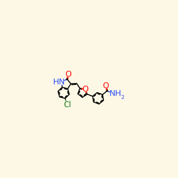 NC(=O)c1cccc(-c2ccc(/C=C3/C(=O)Nc4ccc(Cl)cc43)o2)c1